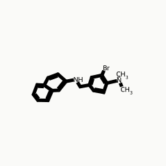 CN(C)c1ccc(CNc2ccc3ccccc3c2)cc1Br